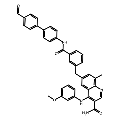 COc1cccc(Nc2c(C(N)=O)cnc3c(C)cc(Cc4cccc(C(=O)Nc5ccc(-c6ccc(C=O)cc6)cc5)c4)cc23)c1